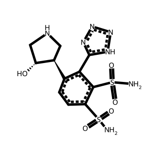 NS(=O)(=O)c1ccc([C@@H]2CNC[C@H]2O)c(-c2nnn[nH]2)c1S(N)(=O)=O